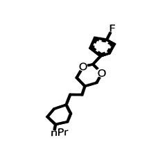 CCCC1CCC(CCC2COC(c3ccc(F)cc3)OC2)CC1